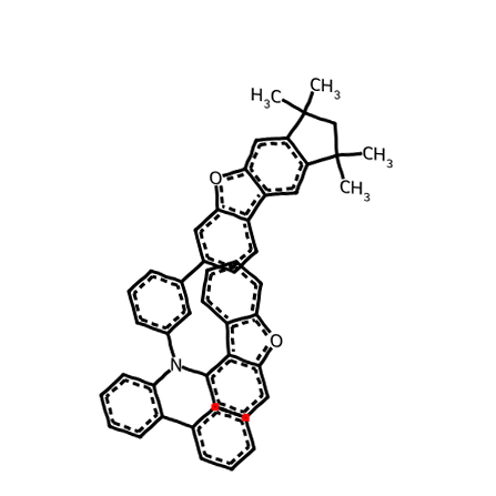 CC1(C)CC(C)(C)c2cc3c(cc21)oc1cc(-c2cccc(N(c4ccccc4-c4ccccc4)c4cccc5oc6ccccc6c45)c2)ccc13